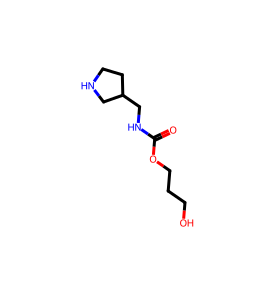 O=C(NCC1CCNC1)OCCCO